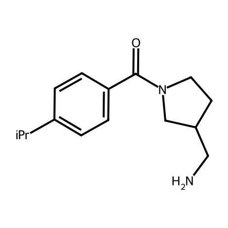 CC(C)c1ccc(C(=O)N2CCC(CN)C2)cc1